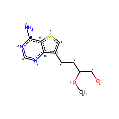 COC(CO)CCc1csc2c(N)ncnc12